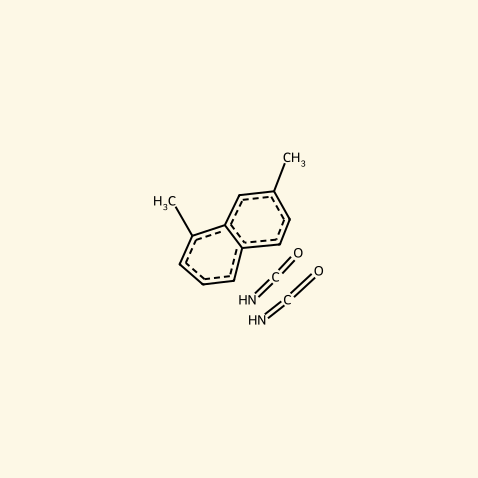 Cc1ccc2cccc(C)c2c1.N=C=O.N=C=O